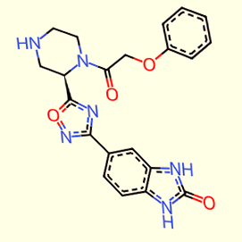 O=C(COc1ccccc1)N1CCNC[C@@H]1c1nc(-c2ccc3[nH]c(=O)[nH]c3c2)no1